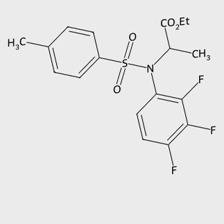 CCOC(=O)C(C)N(c1ccc(F)c(F)c1F)S(=O)(=O)c1ccc(C)cc1